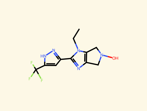 CCn1c(-c2cc(C(F)(F)F)[nH]n2)nc2c1CN(O)C2